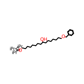 CC(C)[Si](OCCCCCCCCC(O)CCCCCCCOCc1ccccc1)(C(C)C)C(C)C